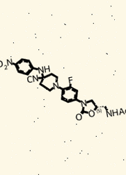 [C-]#[N+]C1(Nc2ccc([N+](=O)[O-])cc2)CCN(c2ccc(N3C[C@H](CNC(C)=O)OC3=O)cc2F)CC1